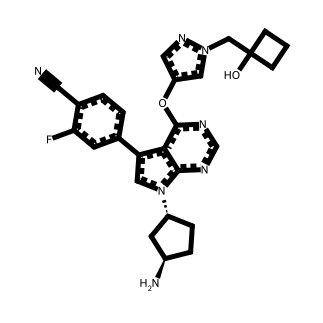 N#Cc1ccc(-c2cn([C@@H]3CC[C@@H](N)C3)c3ncnc(Oc4cnn(CC5(O)CCC5)c4)c23)cc1F